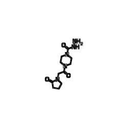 NNC(=O)N1CCN(C(=O)CN2CCCC2=O)CC1